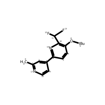 Cc1cc(-c2ccc(OC(C)(C)C)c(C(F)F)n2)ccn1